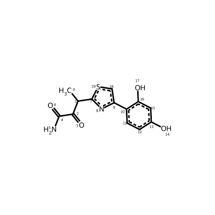 CC(C(=O)C(N)=O)c1nc(-c2ccc(O)cc2O)cs1